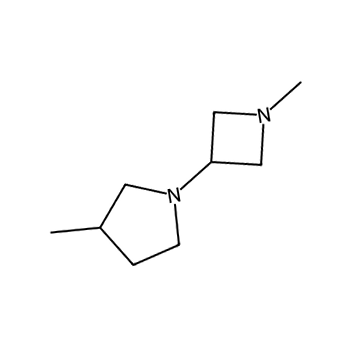 CC1CCN(C2CN(C)C2)C1